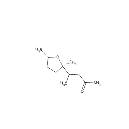 B[C@H]1CC[C@](C)(C(C)CC(C)=O)O1